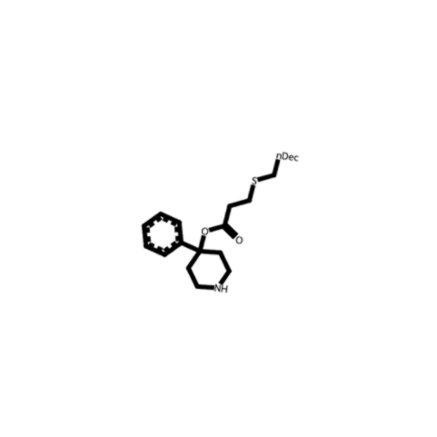 CCCCCCCCCCCSCCC(=O)OC1(c2ccccc2)CCNCC1